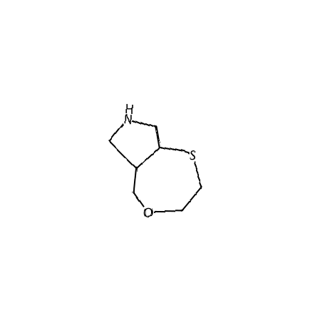 C1CSC2CNCC2CO1